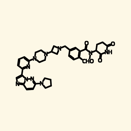 CN(C(=O)c1cc(CN2CC(N3CCN(c4cccc(-c5cnc6ccc(N7CCCC7)nn56)n4)CC3)C2)ccc1C=O)C1CCC(=O)NC1=O